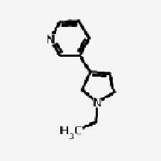 CCN1CC=C(c2cccnc2)C1